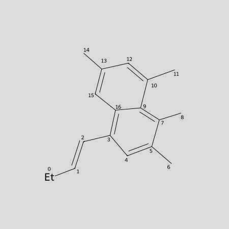 [CH2]CC=Cc1cc(C)c(C)c2c(C)cc(C)cc12